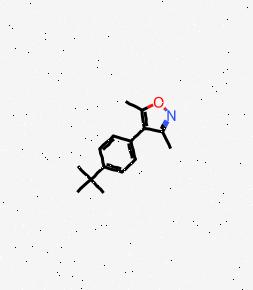 Cc1noc(C)c1-c1ccc(C(C)(C)C)cc1